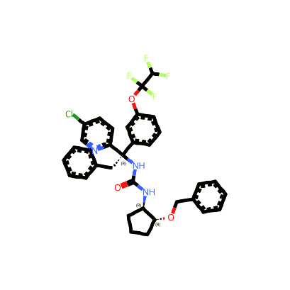 O=C(N[C@@H]1CCC[C@H]1OCc1ccccc1)N[C@](Cc1ccccc1)(c1cccc(OC(F)(F)C(F)F)c1)c1ccc(Cl)cn1